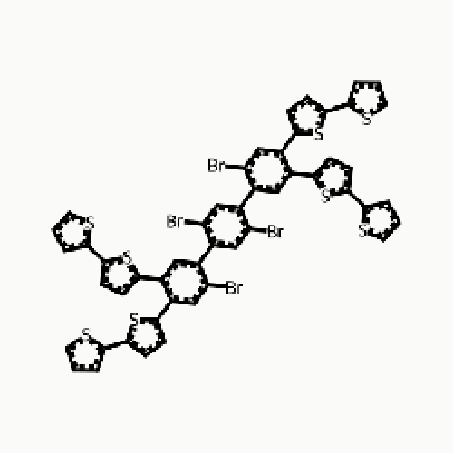 Brc1cc(-c2cc(-c3ccc(-c4cccs4)s3)c(-c3ccc(-c4cccs4)s3)cc2Br)c(Br)cc1-c1cc(-c2ccc(-c3cccs3)s2)c(-c2ccc(-c3cccs3)s2)cc1Br